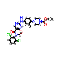 Cc1cc(Nc2ncc3c(n2)OCN(c2c(Cl)cccc2Cl)C3=O)ccc1N1CCN(C(=O)OC(C)(C)C)CC1